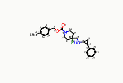 CC(C)(C)c1ccc(COC(=O)N2CCC(F)(CNC3CC3c3ccccc3)CC2)cc1